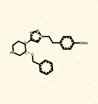 COc1ccc(CCn2cc([C@@H]3CCNC[C@H]3OCc3ccccc3)nn2)cc1